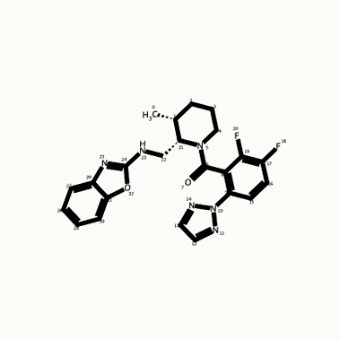 C[C@@H]1CCCN(C(=O)c2c(-n3nccn3)ccc(F)c2F)[C@@H]1CNc1nc2ccccc2o1